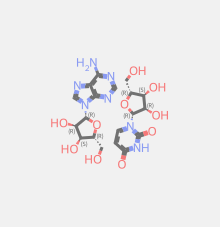 Nc1ncnc2c1ncn2[C@@H]1O[C@H](CO)[C@@H](O)[C@H]1O.O=c1ccn([C@@H]2O[C@H](CO)[C@@H](O)[C@H]2O)c(=O)[nH]1